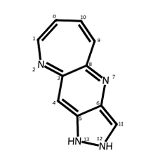 C1=CN=c2cc3c(nc2C=C1)=CNN3